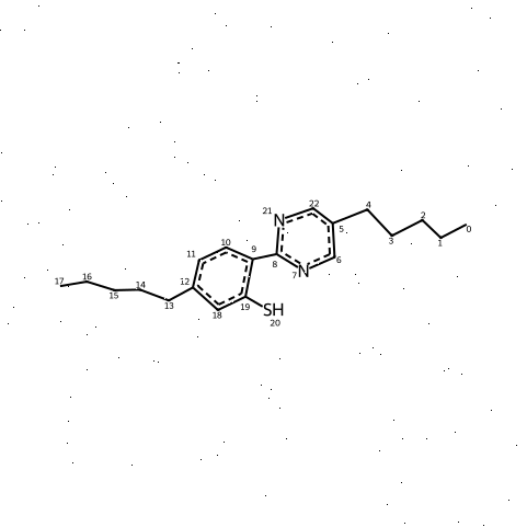 CCCCCc1cnc(-c2ccc(CCCCC)cc2S)nc1